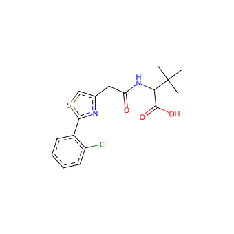 CC(C)(C)C(NC(=O)Cc1csc(-c2ccccc2Cl)n1)C(=O)O